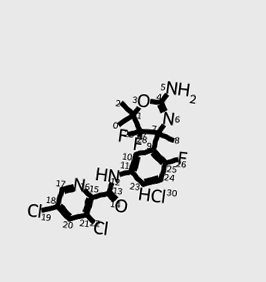 CC1(C)OC(N)=NC(C)(c2cc(NC(=O)c3ncc(Cl)cc3Cl)ccc2F)C1(F)F.Cl